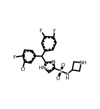 O=S(=O)(NC1CNC1)c1c[nH]c(C(c2ccc(F)c(F)c2)c2ccc(F)c(Cl)c2)n1